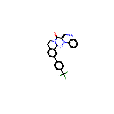 N/C=C(/C(=O)N1CCc2ccc(-c3ccc(C(F)(F)F)cc3)cc2C1)N(N)c1ccccc1